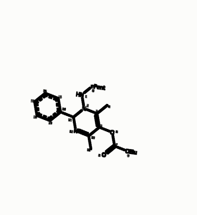 CCCCCNN1C(C)=C(OC(=O)OCC(C)C)C(C)=NC1c1ccccc1